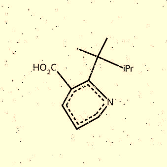 CC(C)C(C)(C)c1ncccc1C(=O)O